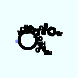 CC(C)(C)OC(=O)N[C@H]1CCCCC/C=C\C2C[C@@]2(C(=O)O)NC(=O)C2C[C@H](OS(=O)(=O)c3ccc(Br)cc3)CN2C1=O